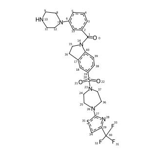 O=C(c1cccc(N2CCNCC2)c1)N1CCc2cc(S(=O)(=O)N3CCN(c4nc(C(F)(F)F)cs4)CC3)ccc21